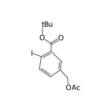 CC(=O)OCc1ccc(I)c(C(=O)OC(C)(C)C)c1